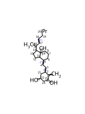 C=C1/C(=C/C=C2\CCC[C@@]3(C)C2CCC3[C@@H](C)/C=C/CC(C)C)CC(O)C[C@H]1O